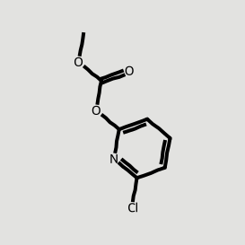 COC(=O)Oc1cccc(Cl)n1